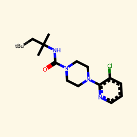 CC(C)(C)CC(C)(C)NC(=O)N1CCN(c2ncccc2Cl)CC1